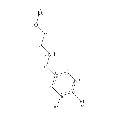 CCOCCNCc1cnc(CC)c(C)c1